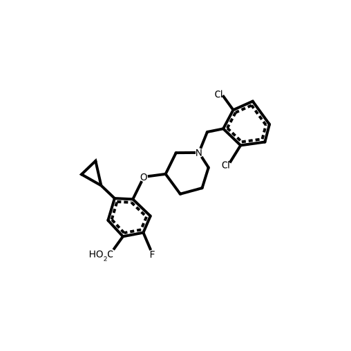 O=C(O)c1cc(C2CC2)c(OC2CCCN(Cc3c(Cl)cccc3Cl)C2)cc1F